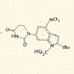 CC(C)(C)c1cc2c([N+](=O)[O-])cc(N3CCC(=O)NC3=O)cc2n1C(=O)O